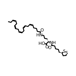 CC/C=C\C/C=C\C/C=C\C/C=C\C/C=C\CCCC(=O)NCCC[C@H](NC(=O)CCCC[C@@H]1CCSS1)C(=O)O